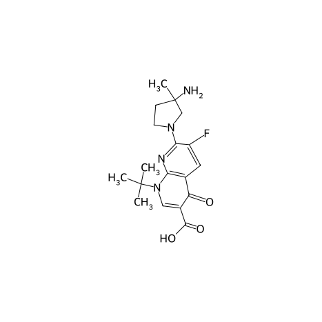 CC1(N)CCN(c2nc3c(cc2F)c(=O)c(C(=O)O)cn3C(C)(C)C)C1